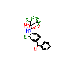 O=C(c1ccccc1)c1ccc(NC(=O)C(O)(C(F)F)C(F)F)c(Br)c1